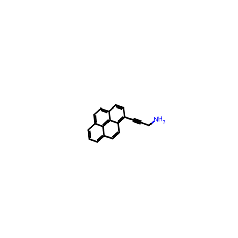 NCC#Cc1ccc2ccc3cccc4ccc1c2c34